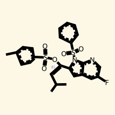 Cc1ccc(S(=O)(=O)O/C(=C/C(C)C)c2cc3cc(F)cnc3n2S(=O)(=O)c2ccccc2)cc1